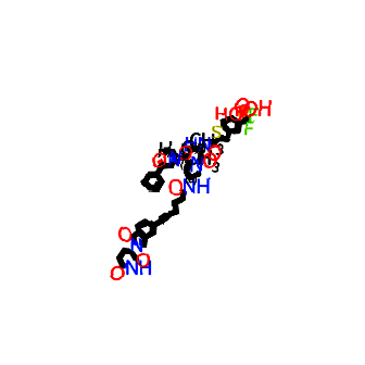 CC(C)(C)[C@H](NC(=O)c1cc2cc(C(F)(F)P(=O)(O)O)ccc2s1)C(=O)N1C[C@@H](NC(=O)CCCC#Cc2ccc3c(c2)CN(C2CCC(=O)NC2=O)C3=O)C[C@H]1C(=O)N1CCOC(c2ccccc2)C1